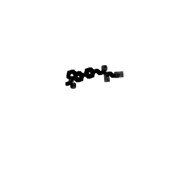 CC(=O)N1CCCc2cc(-c3ccc(CCC(=O)NCCO)cc3)ccc21